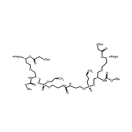 C=CCCP(=O)(OCCNC(=O)NCCOP(=O)(OCC=C)OC[C@@H](COCC[C@@H](CCCCCCC)OC(=O)CCCCCCCCCCC)NC(=O)OC(C)(C)C)OC[C@@H](COCC[C@@H](CCCCCCC)OC(=O)CCCCCCCCCCC)NC(=O)OC(C)(C)C